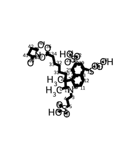 CC1=[N+](CCCS(=O)(=O)O)c2ccc3c(SOOO)cc(S(=O)(=O)O)cc3c2C1(C)CCCCCC(=O)ON1C(=O)CCC1=O